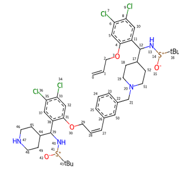 C=CCOc1cc(Cl)c(Cl)cc1C(N[S+]([O-])C(C)(C)C)C1CCN(Cc2cccc(/C=C\COc3cc(Cl)c(Cl)cc3C(N[S+]([O-])C(C)(C)C)C3CCNCC3)c2)CC1